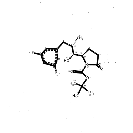 C[C@@H](Cc1cc(F)cc(F)c1)[C@H](O)[C@H]1CCC(=O)N1C(=O)OC(C)(C)C